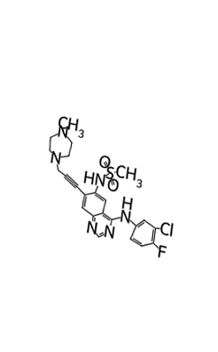 CN1CCN(CC#Cc2cc3ncnc(Nc4ccc(F)c(Cl)c4)c3cc2NS(C)(=O)=O)CC1